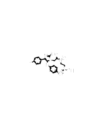 CCc1nc(-c2ccc(F)cc2)c(Nc2ccc(C)cc2)n1CC(=O)N(CC)CCN(C)C